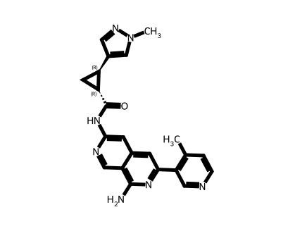 Cc1ccncc1-c1cc2cc(NC(=O)[C@@H]3C[C@H]3c3cnn(C)c3)ncc2c(N)n1